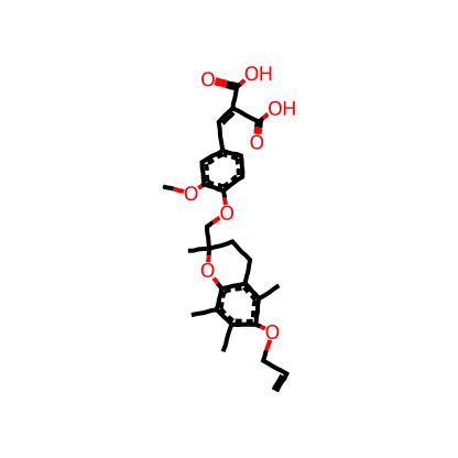 C=CCOc1c(C)c(C)c2c(c1C)CCC(C)(COc1ccc(C=C(C(=O)O)C(=O)O)cc1OC)O2